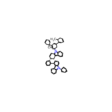 CC1CC=CC=C1C1=CC(C2(C)C=CC=CC2)=C[C@H](n2c3c(c4ccccc42)C[C@H](c2ccccc2-c2cccc4c2c2ccccc2n4-c2ccccc2)C=C3)C1